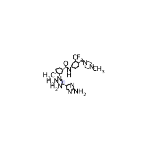 Cc1ccc(C(=O)Nc2ccc(CN3CCN(C)CC3)c(C(F)(F)F)c2)cc1N(N)/C=C(\N)c1cnc(N)nc1